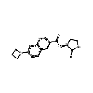 O=C(N[C@H]1CCNC1=O)c1cnc2nc(N3CCC3)ccc2c1